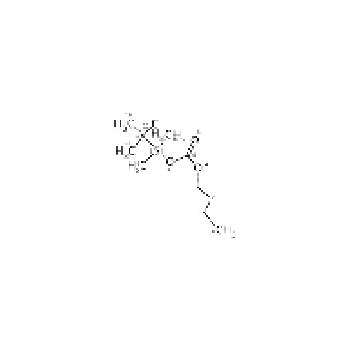 CCCCOC(=O)O[Si](C)(C)C(C)(C)C